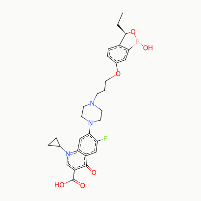 CC[C@H]1OB(O)c2cc(OCCCN3CCN(c4cc5c(cc4F)c(=O)c(C(=O)O)cn5C4CC4)CC3)ccc21